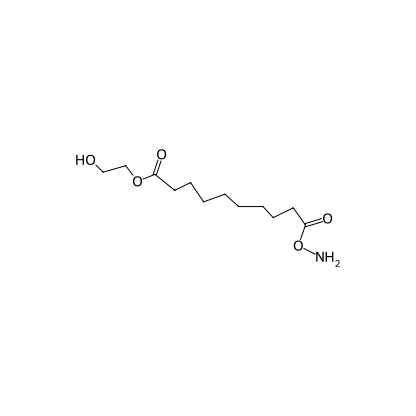 NOC(=O)CCCCCCCCC(=O)OCCO